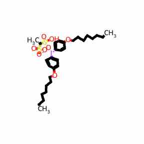 CC(S(=O)(=O)[O-])S(=O)(=O)O.CCCCCCCCOc1ccc([I+]c2ccc(OCCCCCCCC)cc2)cc1